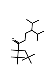 CC(C)C(CCC(=O)C(C)(CC(C)(C)C)C(C)(C)C)C(C)C